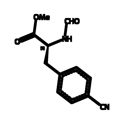 COC(=O)[C@H](Cc1ccc(C#N)cc1)NC=O